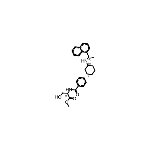 COC(=O)[C@@H](CO)NC(=O)c1ccc([C@H]2CCC[C@H](N[C@H](C)c3cccc4ccccc34)C2)cc1